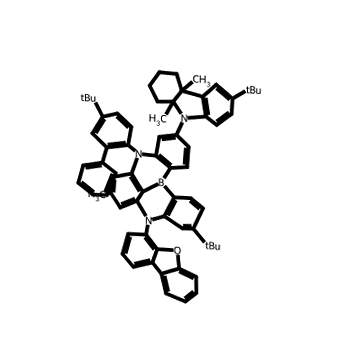 Cc1cc2c3c(c1)N(c1cccc4c1oc1ccccc14)c1cc(C(C)(C)C)ccc1B3c1ccc(N3c4ccc(C(C)(C)C)cc4C4(C)CCCCC34C)cc1N2c1ccc(C(C)(C)C)cc1-c1ccccc1